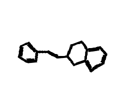 [C]1c2ccccc2CCC1C=Cc1ccccc1